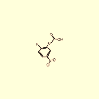 O=C(O)CSc1cc([N+](=O)[O-])ccc1F